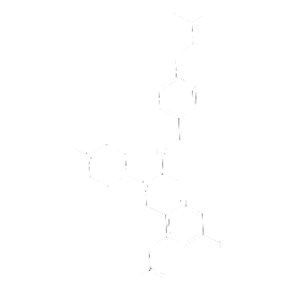 CC(=O)Oc1cc(F)cnc1CN(C(=O)NCc1ccc(OCC(C)C)cc1)C1CCN(C)CC1